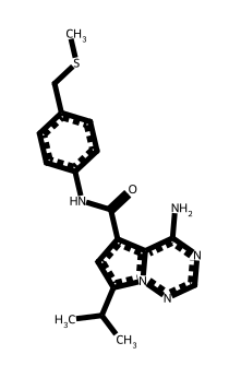 CSCc1ccc(NC(=O)c2cc(C(C)C)n3ncnc(N)c23)cc1